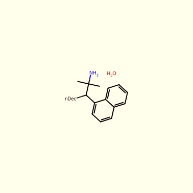 CCCCCCCCCCC(c1cccc2ccccc12)C(C)(C)N.O